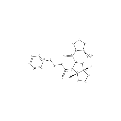 O=C(O)[C@@H]1CCCN1C(=O)[C@@H]1C[C@@H]2CCC[C@@H]2N1C(=O)CCCc1ccccc1